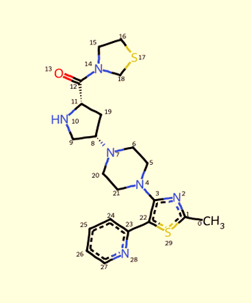 Cc1nc(N2CCN([C@@H]3CN[C@H](C(=O)N4CCSC4)C3)CC2)c(-c2ccccn2)s1